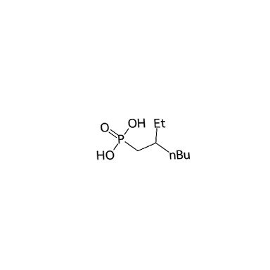 CCCCC(CC)CP(=O)(O)O